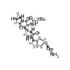 CC(C)(C)OC(=O)N[C@@H](CN1C[C@@H]2C[C@H]1C(=O)N2[C@@H]1CCc2cc(SOON)ccc21)C(=O)N1[C@H](C#N)C[C@@H]2C[C@@H]21